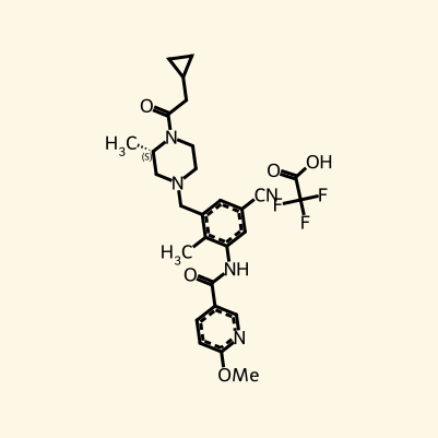 COc1ccc(C(=O)Nc2cc(C#N)cc(CN3CCN(C(=O)CC4CC4)[C@@H](C)C3)c2C)cn1.O=C(O)C(F)(F)F